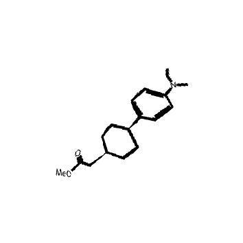 COC(=O)C[C@H]1CC[C@@H](c2ccc(N(C)C)cc2)CC1